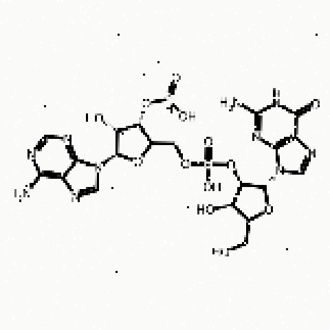 Nc1nc2c(ncn2[C@@H]2OC(CO)[C@@H](O)[C@H]2OP(=O)(O)OCC2O[C@@H](n3cnc4c(N)ncnc43)[C@H](O)[C@@H]2O[PH](=O)O)c(=O)[nH]1